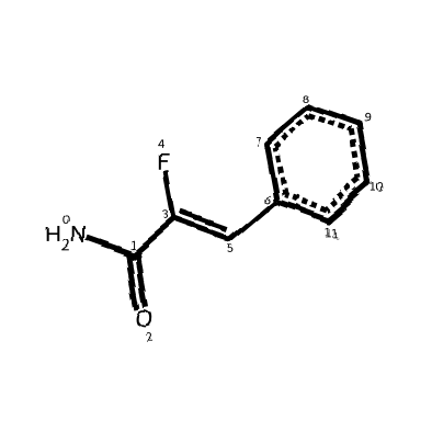 NC(=O)C(F)=Cc1ccccc1